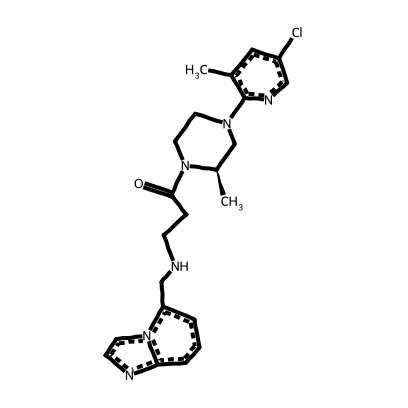 Cc1cc(Cl)cnc1N1CCN(C(=O)CCNCc2cccc3nccn23)[C@H](C)C1